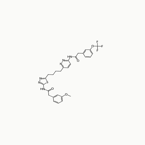 COc1cccc(CC(=O)Nc2nnc(CCCCc3ccc(NC(=O)Cc4cccc(OC(F)(F)F)c4)nn3)s2)c1